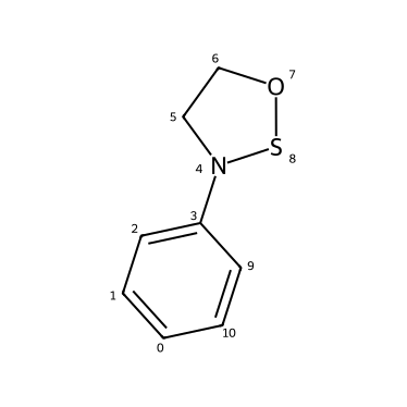 c1ccc(N2CCOS2)cc1